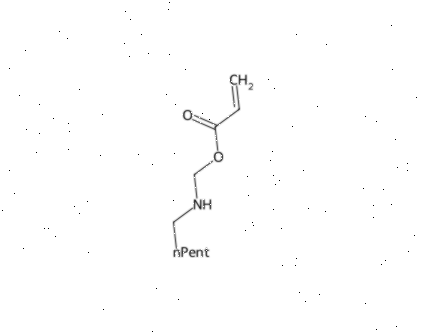 C=CC(=O)OCNCCCCCC